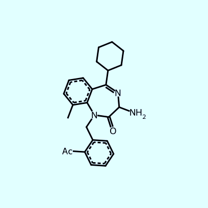 CC(=O)c1ccccc1CN1C(=O)C(N)N=C(C2CCCCC2)c2cccc(C)c21